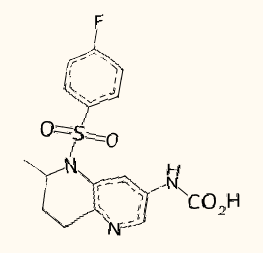 CC1CCc2ncc(NC(=O)O)cc2N1S(=O)(=O)c1ccc(F)cc1